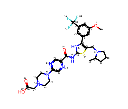 COc1cc(C2=C(CN3CCCC3C)SC(NC(=O)c3cnc(N4CCN(CC(=O)O)CC4)cn3)N2)cc(C(F)(F)F)c1